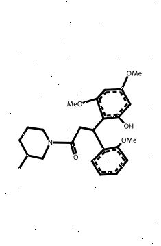 COc1cc(O)c(C(CC(=O)N2CCCC(C)C2)c2ccccc2OC)c(OC)c1